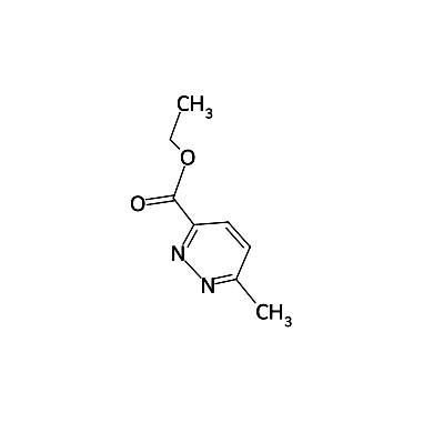 CCOC(=O)c1ccc(C)nn1